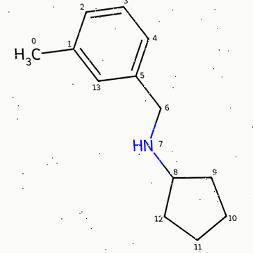 Cc1cccc(CNC2CCCC2)c1